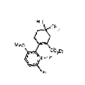 CCOC(=O)C1=C(c2c(OC)ccc(C(C)C)[n+]2[O-])CCC(C)(C)C1